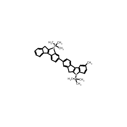 Cc1ccc2c(c1)c1c(n2[Si](C)(C)C)Cc2cc(-c3ccc4c5c(n([Si](C)(C)C)c4c3)Cc3ccccc3-5)ccc2-1